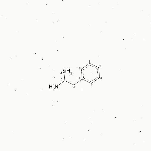 NC([SiH3])Cc1ccccc1